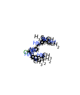 C=C(CCC1=Cc2cc(Nc3nc(N4CCC[C@@H](CCNc5ccc6c(C7CCC(=C)NC7=C)nn(C)c6c5)C4)ncc3Cl)ccc2N(C)C1=C)NC